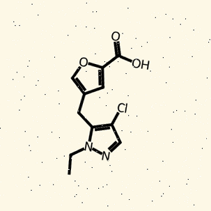 CCn1ncc(Cl)c1Cc1coc(C(=O)O)c1